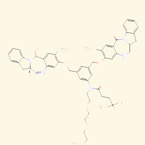 COCCOCCOCCN(C(=O)CCC(C)(C)S)c1cc(COc2cc3c(cc2OC)C(O)N2c4ccccc4C[C@H]2C=N3)cc(COc2cc3c(cc2OC)C(=O)N2c4ccccc4CC2CN3)c1